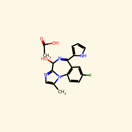 CC(=O)O.Cc1cnc2n1-c1ccc(F)cc1C(c1ccc[nH]1)=NC2O